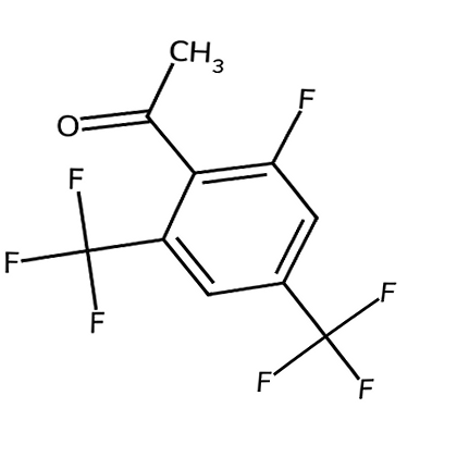 CC(=O)c1c(F)cc(C(F)(F)F)cc1C(F)(F)F